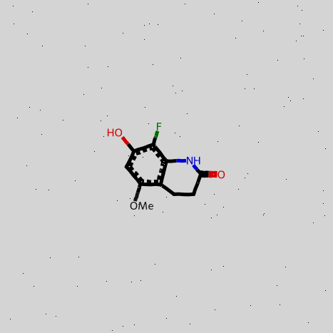 COc1cc(O)c(F)c2c1CCC(=O)N2